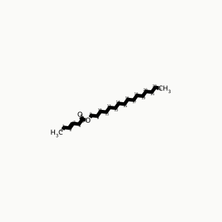 CCC=CCC(=O)OCCCCCCCCCCCCCCCC